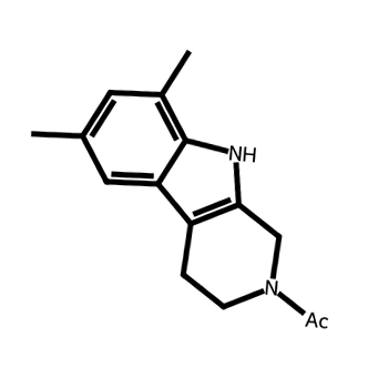 CC(=O)N1CCc2c([nH]c3c(C)cc(C)cc23)C1